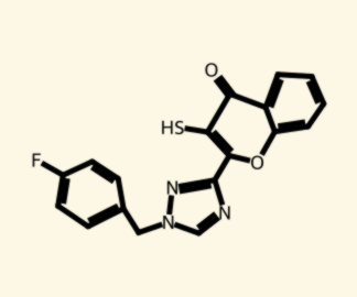 O=c1c(S)c(-c2ncn(Cc3ccc(F)cc3)n2)oc2ccccc12